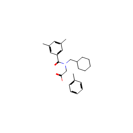 Cc1cc(C)cc(C(=O)N(CC2CCCCC2)[C@H](Cc2ccccc2)C(=O)O)c1